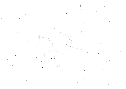 c1nc2cc3c(cc2[nH]1)COO3